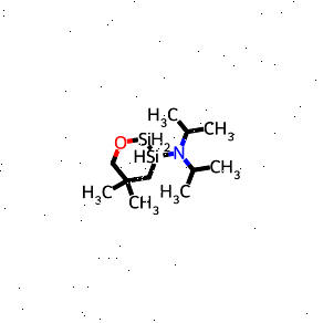 CC(C)N(C(C)C)[SiH]1CC(C)(C)CO[SiH2]1